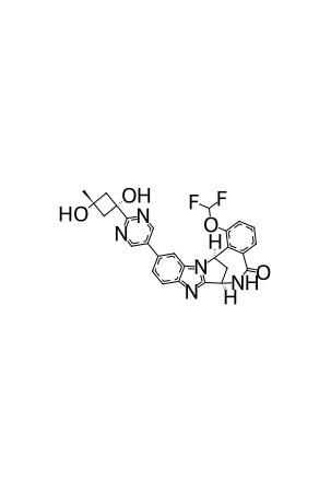 C[C@]1(O)C[C@](O)(c2ncc(-c3ccc4nc5n(c4c3)[C@@H]3C[C@H]5NC(=O)c4cccc(OC(F)F)c43)cn2)C1